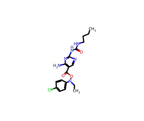 CCCCNC(=O)Nc1ncc(C(=O)ON(CC)c2ccc(Cl)cc2)c(N)n1